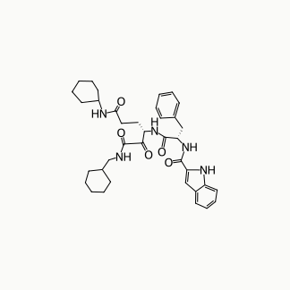 O=C(CC[C@H](NC(=O)[C@H](Cc1ccccc1)NC(=O)c1cc2ccccc2[nH]1)C(=O)C(=O)NCC1CCCCC1)NC1CCCCC1